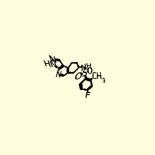 Cc1cc(F)ccc1S(=O)(=O)NC1CCc2c(cnc3[nH]ncc23)C1